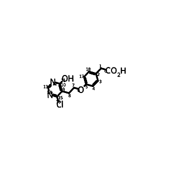 O=C(O)Cc1ccc(OCCc2c(O)ncnc2Cl)cc1